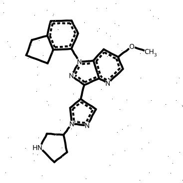 COc1cnc2c(-c3cnn(C4CCNC4)c3)nn(-c3cccc4c3CCC4)c2c1